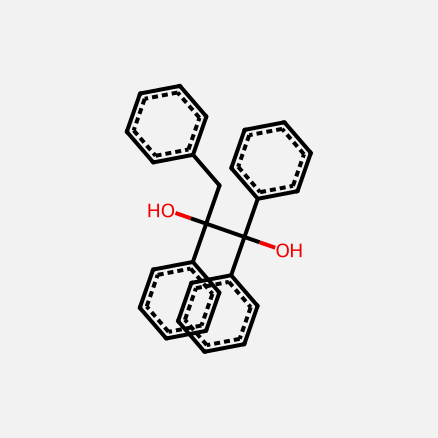 OC(Cc1ccccc1)(c1ccccc1)C(O)(c1ccccc1)c1ccccc1